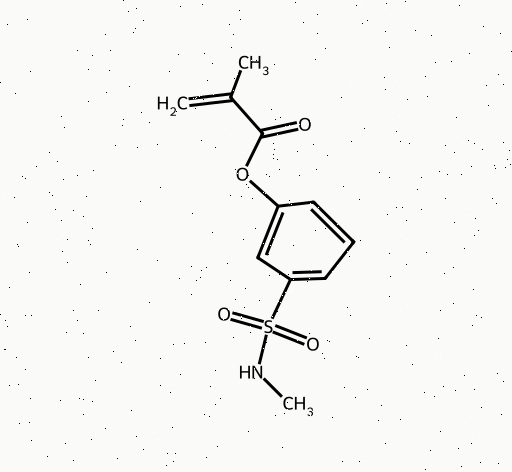 C=C(C)C(=O)Oc1cccc(S(=O)(=O)NC)c1